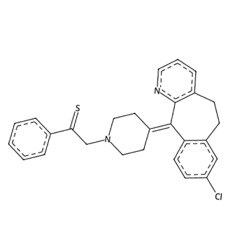 S=C(CN1CCC(=C2c3ccc(Cl)cc3CCc3cccnc32)CC1)c1ccccc1